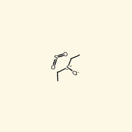 CC[S+]([O-])CC.O=S=O